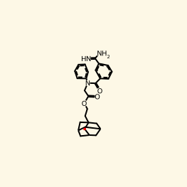 N=C(N)c1cccc(C(=O)N(CC(=O)OCCC23CC4CC(CC(C4)C2)C3)c2ccccc2)c1